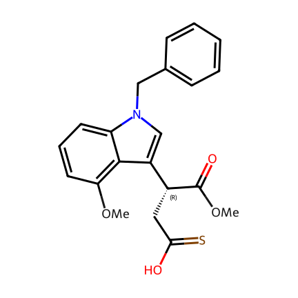 COC(=O)[C@H](CC(O)=S)c1cn(Cc2ccccc2)c2cccc(OC)c12